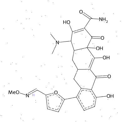 CO/N=C/c1ccc(-c2ccc(O)c3c2CC2CC4C(N(C)C)C(O)=C(C(N)=O)C(=O)C4(O)C(O)=C2C3=O)o1